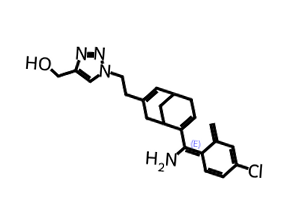 C=c1cc(Cl)cc/c1=C(\N)C1=CCC2C=C(CCn3cc(CO)nn3)CC1C2